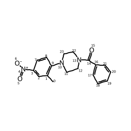 Cc1cc([N+](=O)[O-])ccc1N1CCN(C(=O)c2ccccc2)CC1